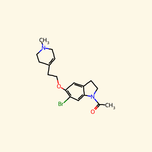 CC(=O)N1CCc2cc(OCCC3=CCN(C)CC3)c(Br)cc21